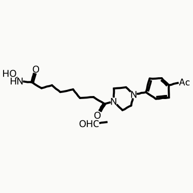 CC(=O)c1ccc(N2CCN(C(=O)CCCCCCC(=O)NO)CC2)cc1.CC=O